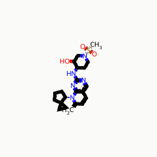 C=C1C=Cc2cnc(NC3CCN(S(C)(=O)=O)CC3O)nc2N1[C@H]1CCCC12CC2